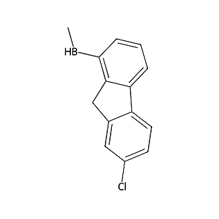 CBc1cccc2c1Cc1cc(Cl)ccc1-2